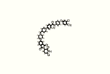 N#Cc1ccc(O[C@H]2CC[C@H](NC(=O)c3ccc(N4CCC(CN5CCN(c6ccc7c(c6)C(=O)N(C6CCC(=O)NC6=O)C7=O)CC5)CC4)nc3)CC2)cc1Cl